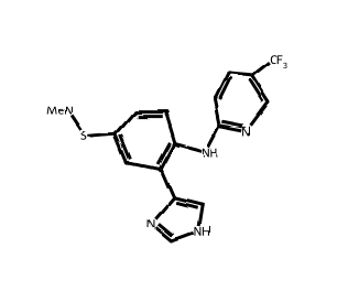 CNSc1ccc(Nc2ccc(C(F)(F)F)cn2)c(-c2c[nH]cn2)c1